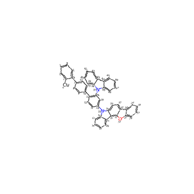 N#Cc1ccccc1-c1ccc(-c2ccc(-n3c4ccccc4c4c5oc6ccccc6c5ccc43)cc2-n2c3ccccc3c3ccccc32)cc1